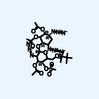 CC(=O)OC1C(N=[N+]=[N-])[C@@H](O[C@@H]2C(N=[N+]=[N-])C[C@@H](N=[N+]=[N-])[C@@H](OC(C)=O)C2OC(C)=O)OC(CO[Si](C)(C)C(C)(C)C)[C@H]1OS(C)(=O)=O